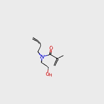 C=CCN(CCO)C(=O)C(=C)C